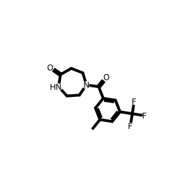 Cc1cc(C(=O)N2CCNC(=O)CC2)cc(C(F)(F)F)c1